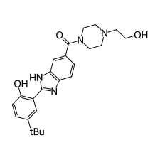 CC(C)(C)c1ccc(O)c(-c2nc3ccc(C(=O)N4CCN(CCO)CC4)cc3[nH]2)c1